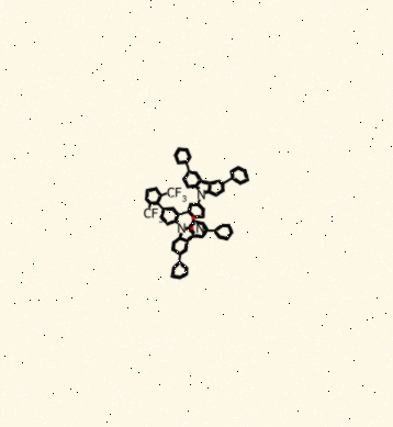 N#Cc1ccc(-n2c3ccc(-c4ccccc4)cc3c3cc(-c4ccccc4)ccc32)cc1-c1cc(-c2c(C(F)(F)F)cccc2C(F)(F)F)ccc1-n1c2ccc(-c3ccccc3)cc2c2cc(-c3ccccc3)ccc21